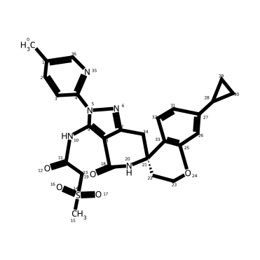 Cc1ccc(-n2nc3c(c2NC(=O)CS(C)(=O)=O)C(=O)N[C@@]2(CCOc4cc(C5CC5)ccc42)C3)nc1